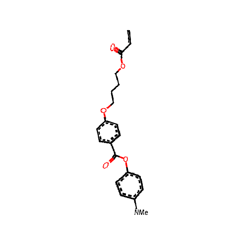 C=CC(=O)OCCCCOc1ccc(C(=O)Oc2ccc(NC)cc2)cc1